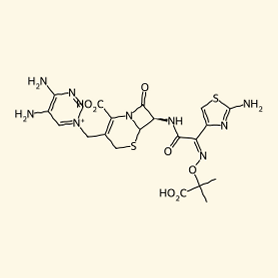 CC(C)(O/N=C(\C(=O)N[C@@H]1C(=O)N2C(C(=O)O)=C(C[n+]3cnc(N)c(N)c3)CSC12)c1csc(N)n1)C(=O)O